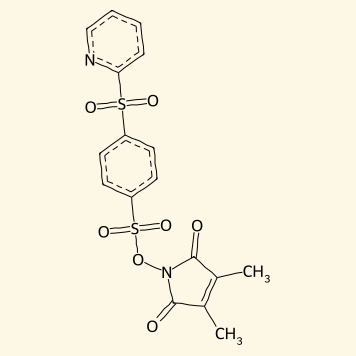 CC1=C(C)C(=O)N(OS(=O)(=O)c2ccc(S(=O)(=O)c3ccccn3)cc2)C1=O